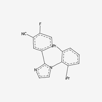 CC(C)c1cccc(C(C)C)c1-n1ccnc1-c1ccc(F)c(C#N)c1